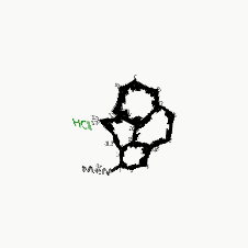 CNc1ccc2ccc3cccc4ccc1c2c34.Cl